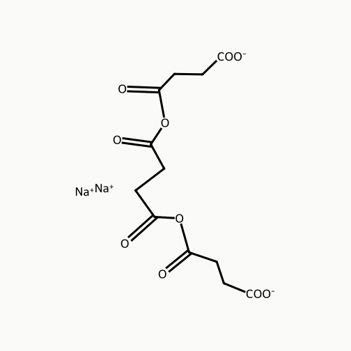 O=C([O-])CCC(=O)OC(=O)CCC(=O)OC(=O)CCC(=O)[O-].[Na+].[Na+]